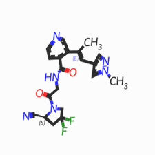 C/C(=C\c1cnn(C)c1)c1cnccc1C(=O)NCC(=O)N1CC(F)(F)C[C@H]1C#N